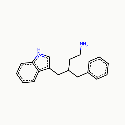 NCCC(Cc1ccccc1)Cc1c[nH]c2ccccc12